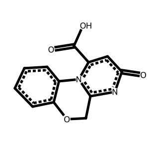 O=C(O)c1cc(=O)nc2n1-c1ccccc1OC2